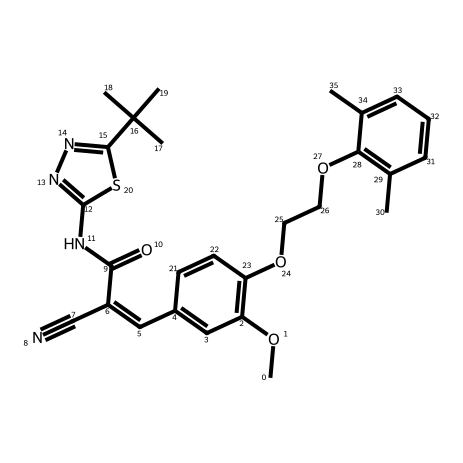 COc1cc(/C=C(/C#N)C(=O)Nc2nnc(C(C)(C)C)s2)ccc1OCCOc1c(C)cccc1C